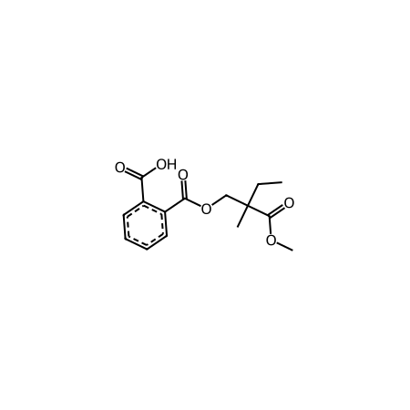 CCC(C)(COC(=O)c1ccccc1C(=O)O)C(=O)OC